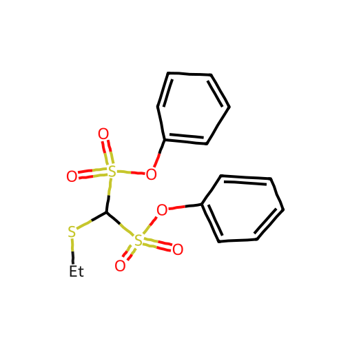 CCSC(S(=O)(=O)Oc1ccccc1)S(=O)(=O)Oc1ccccc1